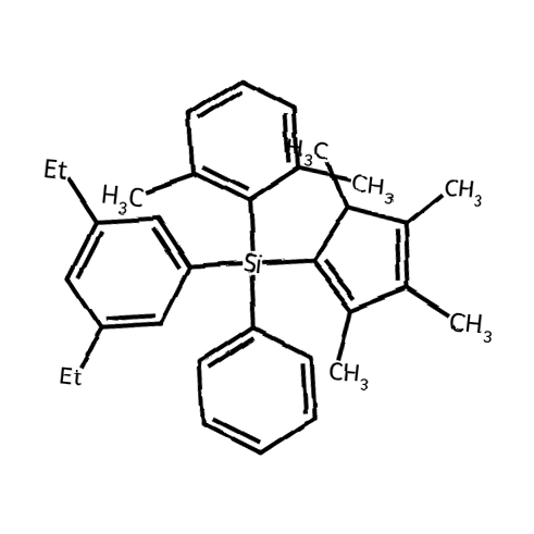 CCc1cc(CC)cc([Si](C2=C(C)C(C)=C(C)C2C)(c2ccccc2)c2c(C)cccc2C)c1